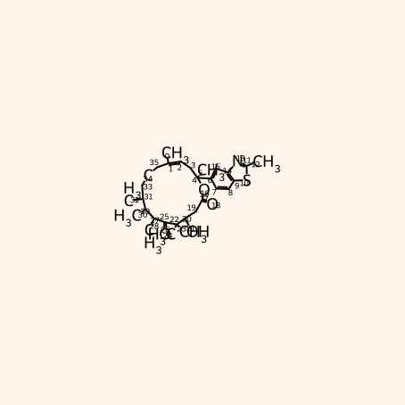 C/C1=C/CC(C)(c2ccc3sc(C)nc3c2)OC(=O)CC(O)C(C)(C)C(=O)C(C)C(C)C(C)CCC1